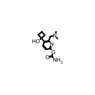 CN(C)Cc1nc(OC(N)=O)ccc1C1(O)CCC1